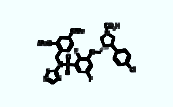 COc1ccc(CN(c2ncns2)S(=O)(=O)c2cc(F)cc(OC[C@@H]3CN(C(=O)O)CC3c3ccc(Cl)cc3)c2F)c(OC)c1